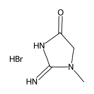 Br.CN1CC(=O)NC1=N